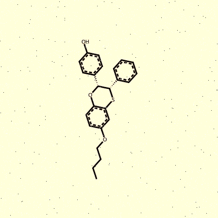 CCCCOc1ccc2c(c1)S[C@@H](c1ccccc1)[C@@H](c1ccc(O)cc1)O2